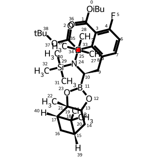 CC(C)COC(=O)c1c(F)ccc(C[C@@H](B2OC3C[C@@H]4C[C@@H](C4(C)C)[C@]3(C)O2)N([Si](C)(C)C)[Si](C)(C)C)c1OC(=O)OC(C)(C)C